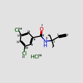 C#CC(C)(C)NC(=O)c1cc(Cl)cc(Cl)c1.Cl